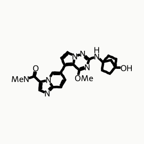 CNC(=O)c1cnc2ccc(-c3ccn4nc(NC56CCC(O)(CC5)C6)nc(OC)c34)cn12